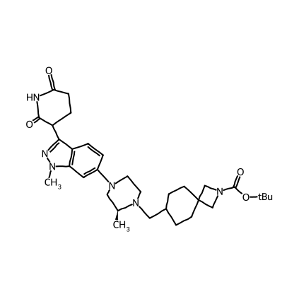 C[C@H]1CN(c2ccc3c(C4CCC(=O)NC4=O)nn(C)c3c2)CCN1CC1CCC2(CC1)CN(C(=O)OC(C)(C)C)C2